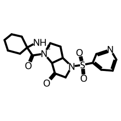 NC1(C(=O)N2CCC3C2C(=O)CN3S(=O)(=O)c2cccnc2)CCCCC1